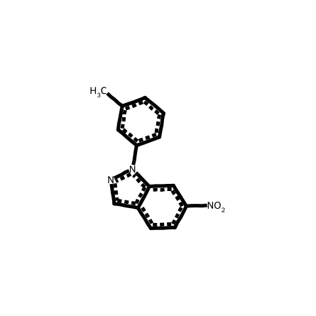 Cc1cccc(-n2ncc3ccc([N+](=O)[O-])cc32)c1